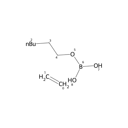 C=C.CCCCCCOB(O)O